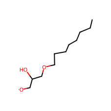 CCCCCCCCOCC(O)C[O]